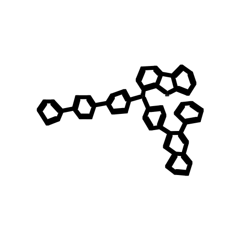 c1ccc(-c2ccc(-c3ccc(N(c4ccc(-c5cc6ccccc6cc5-c5ccccc5)cc4)c4cccc5c4sc4ccccc45)cc3)cc2)cc1